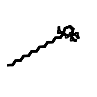 CCCCCCCCCCCCCCC1(OC)CCC[Si](OC)(OC)O1